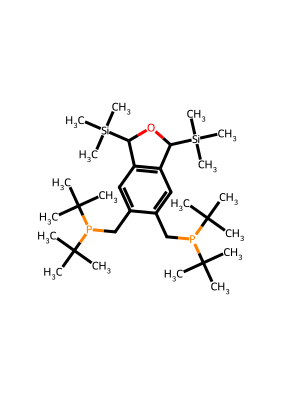 CC(C)(C)P(Cc1cc2c(cc1CP(C(C)(C)C)C(C)(C)C)C([Si](C)(C)C)OC2[Si](C)(C)C)C(C)(C)C